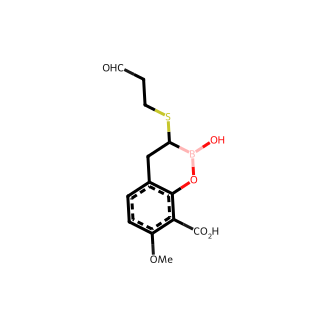 COc1ccc2c(c1C(=O)O)OB(O)C(SCCC=O)C2